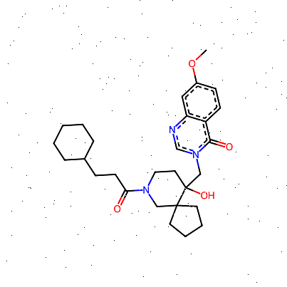 COc1ccc2c(=O)n(CC3(O)CCN(C(=O)CCC4CCCCC4)CC34CCCC4)cnc2c1